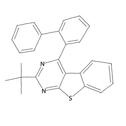 CC(C)(C)c1nc(-c2ccccc2-c2ccccc2)c2c(n1)sc1ccccc12